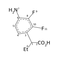 CCC(C(=O)O)c1ccc(N)c(F)c1F